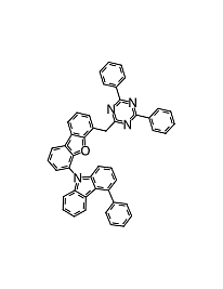 c1ccc(-c2nc(Cc3cccc4c3oc3c(-n5c6ccccc6c6c(-c7ccccc7)cccc65)cccc34)nc(-c3ccccc3)n2)cc1